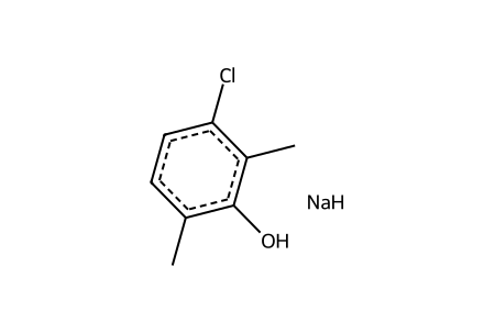 Cc1ccc(Cl)c(C)c1O.[NaH]